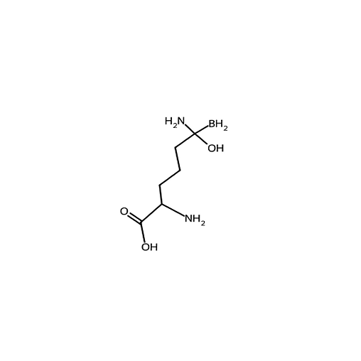 BC(N)(O)CCCC(N)C(=O)O